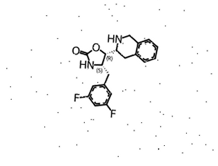 O=C1N[C@@H](Cc2cc(F)cc(F)c2)[C@@H](C2Cc3ccccc3CN2)O1